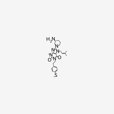 CSc1ccc(CCn2c(=O)c3c(nc(N4CCCC(N)C4)n3CC=C(C)C)n(C)c2=O)cc1